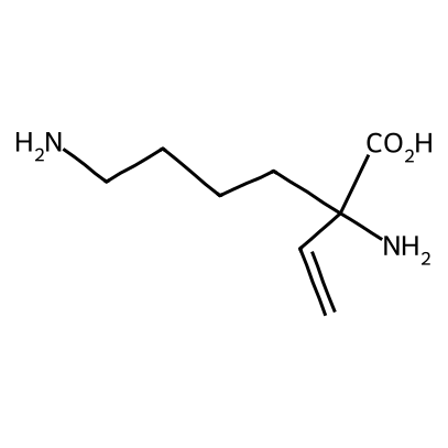 C=CC(N)(CCCCN)C(=O)O